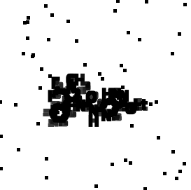 CCOc1n[nH]c2cc(NC(=O)N[C@@H]3CN(C)C(C(F)F)C3c3ccccc3)ncc12